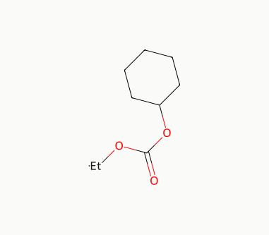 C[CH]OC(=O)OC1CCCCC1